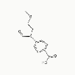 COCCN(C=O)c1ccc(C(=O)O)cc1